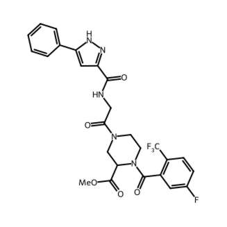 COC(=O)C1CN(C(=O)CNC(=O)c2cc(-c3ccccc3)[nH]n2)CCN1C(=O)c1cc(F)ccc1C(F)(F)F